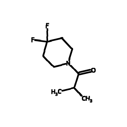 CC(C)C(=O)N1CCC(F)(F)CC1